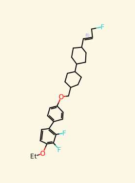 CCOc1ccc(-c2ccc(OCC3CCC(C4CCC(/C=C/CF)CC4)CC3)cc2)c(F)c1F